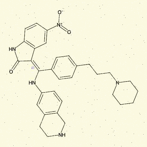 O=C1Nc2ccc([N+](=O)[O-])cc2/C1=C(/Nc1ccc2c(c1)CCNC2)c1ccc(CCCN2CCCCC2)cc1